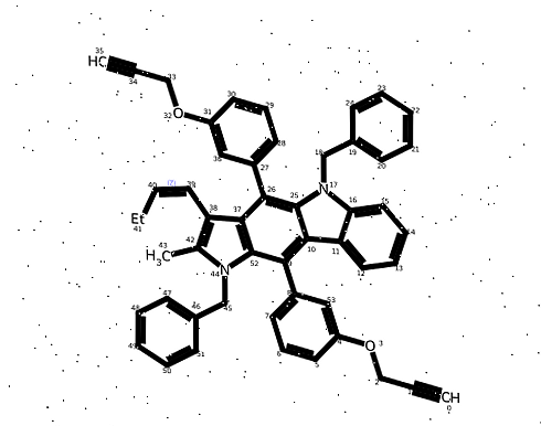 C#CCOc1cccc(-c2c3c4ccccc4n(Cc4ccccc4)c3c(-c3cccc(OCC#C)c3)c3c(/C=C\CC)c(C)n(Cc4ccccc4)c23)c1